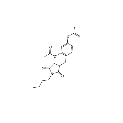 CCCCN1C(=O)CC(Cc2ccc(OC(C)=O)cc2OC(C)=O)C1=O